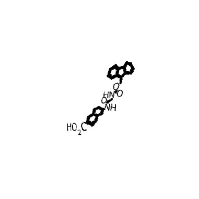 O=C(CNC(=O)OCC1c2ccccc2-c2ccccc21)Nc1ccc2cc(C(=O)O)ccc2c1